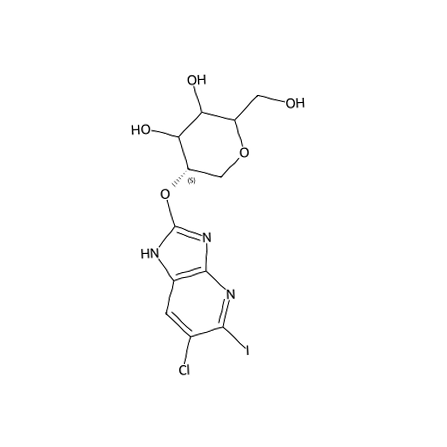 OCC1OC[C@H](Oc2nc3nc(I)c(Cl)cc3[nH]2)C(O)C1O